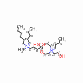 CCCCCC[N+](C)(CCCCC)CCC[Si]1(O)OCC[N+](CCO)(CCCC)CCO1